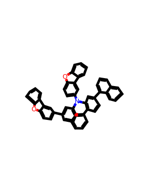 c1ccc(-c2ccc(-c3cccc4ccccc34)cc2N(c2cccc(-c3ccc4oc5ccccc5c4c3)c2)c2ccc3oc4ccccc4c3c2)cc1